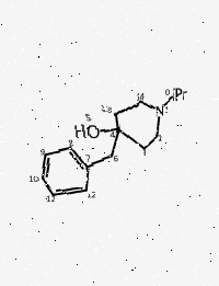 CC(C)N1CCC(O)(Cc2ccccc2)CC1